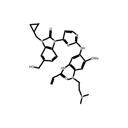 C=CC(=O)Nc1cc(Nc2nccc(-n3c(=O)n(CC4CC4)c4cc(CO)ccc43)n2)c(OC)cc1N(C)CCN(C)C